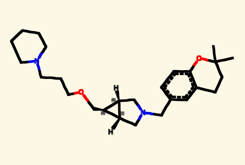 CC1(C)CCc2cc(CN3C[C@@H]4[C@@H](COCCCN5CCCCC5)[C@@H]4C3)ccc2O1